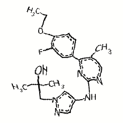 CCOc1ccc(-c2nc(Nc3cnn(CC(C)(C)O)c3)ncc2C)cc1F